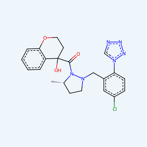 C[C@H]1CCN(Cc2cc(Cl)ccc2-n2cnnn2)N1C(=O)C1(O)CCOc2ccccc21